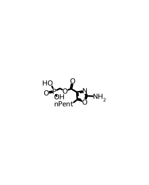 CCCCCc1oc(N)nc1C(=O)OCP(=O)(O)O